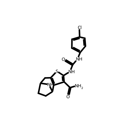 NC(=O)c1c(NC(=O)Nc2ccc(Cl)cc2)sc2c1C1CCC(C2)N1